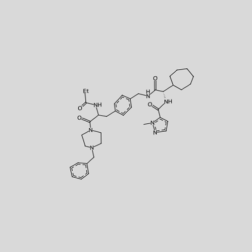 CCC(=O)NC(Cc1ccc(CNC(=O)[C@@H](NC(=O)c2ccnn2C)C2CCCCCC2)cc1)C(=O)N1CCN(Cc2ccccc2)CC1